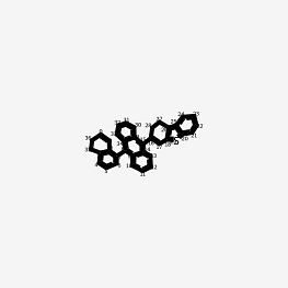 C1=Cc2c(cccc2-c2c3ccccc3c(C3=Cc4sc5ccccc5c4CC3)c3ccccc23)CC1